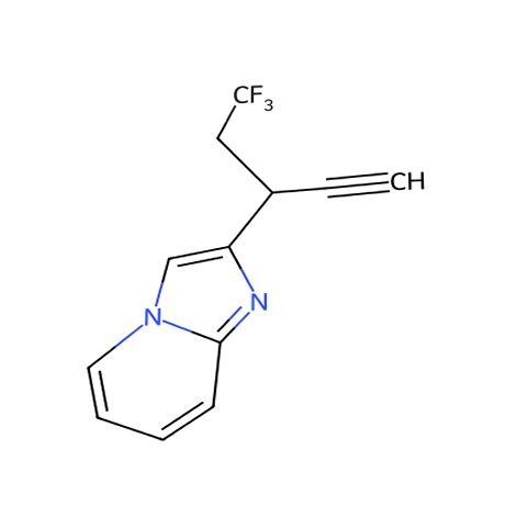 C#CC(CC(F)(F)F)c1cn2ccccc2n1